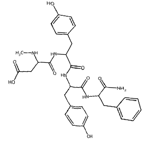 CNC(CC(=O)O)C(=O)NC(Cc1ccc(O)cc1)C(=O)NC(Cc1ccc(O)cc1)C(=O)NC(Cc1ccccc1)C(N)=O